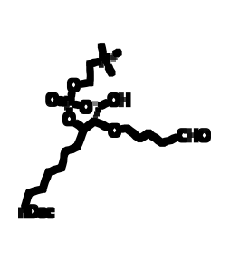 CCCCCCCCCCCCCCCCC(OP(=O)([O-])OCC[N+](C)(C)C)[C@H](CO)OCCCCC=O